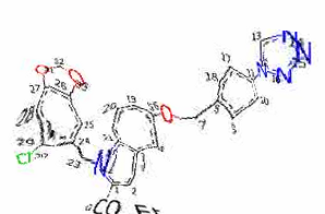 CCOC(=O)c1cc2cc(OCc3ccc(-n4cnnn4)cc3)ccc2n1Cc1cc2c(cc1Cl)OCO2